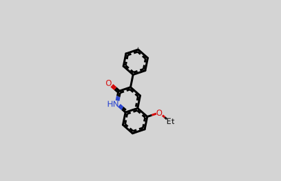 CCOc1cccc2[nH]c(=O)c(-c3cc[c]cc3)cc12